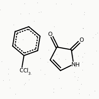 ClC(Cl)(Cl)c1ccccc1.O=C1C=CNC1=O